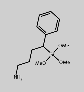 CO[Si](OC)(OC)C(CCCN)c1ccccc1